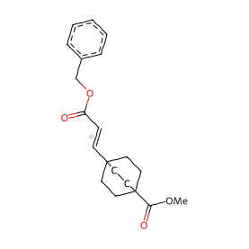 COC(=O)C12CCC(/C=C/C(=O)OCc3ccccc3)(CC1)CC2